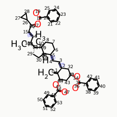 C=C1/C(=C\C=C2/CCC[C@]3(C)[C@@H]([C@H](C)/C=C/[C@H](OC(=O)c4ccccc4)C4CC4)CC[C@@H]23)C[C@@H](OC(=O)c2ccccc2)C[C@@H]1OC(=O)c1ccccc1